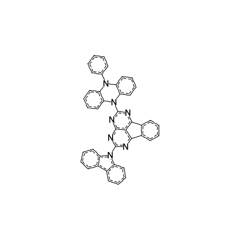 c1ccc(N2c3ccccc3N(c3nc4c5c(nc(-n6c7ccccc7c7ccccc76)nc5n3)-c3ccccc3-4)c3ccccc32)cc1